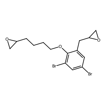 Brc1cc(Br)c(OCCCCC2CO2)c(CC2CO2)c1